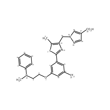 Cc1sc(-c2cc(OCCN(C)c3ccccc3)cc(C(F)(F)F)c2)nc1Cn1cc(C(=O)O)cn1